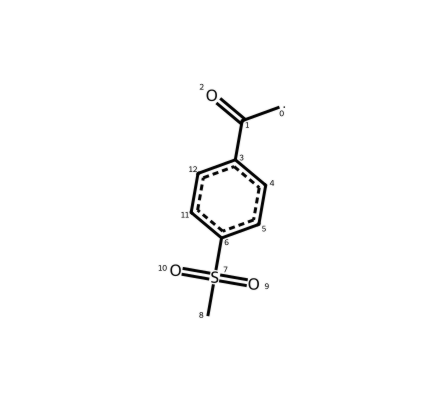 [CH2]C(=O)c1ccc(S(C)(=O)=O)cc1